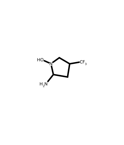 NC1CC(C(F)(F)F)CN1O